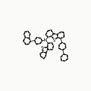 c1ccc(-c2ccc(-c3cccc4c3sc3c(N(c5ccc(-c6cccc7ccccc67)cc5)c5cccc6c5sc5ccccc56)cccc34)cc2)cc1